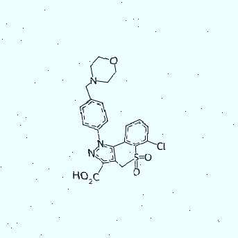 O=C(O)c1nn(-c2ccc(CN3CCOCC3)cc2)c2c1CS(=O)(=O)c1c(Cl)cccc1-2